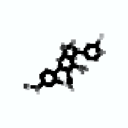 COc1ccc(-c2nc3[nH]nc(-c4ccnc(Cl)c4)c3c(C)c2C#N)c(F)c1